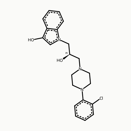 Oc1cn(C[C@H](O)CN2CCN(c3ccccc3Cl)CC2)c2ccccc12